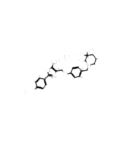 CCOC(=O)C1(C)CCCN(Cc2ccc(OCc3nc(-c4ccc(C(F)(F)F)cc4)oc3C)cc2)C1